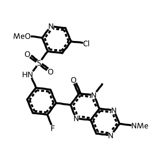 CNc1ncc2nc(-c3cc(NS(=O)(=O)c4cc(Cl)cnc4OC)ccc3F)c(=O)n(C)c2n1